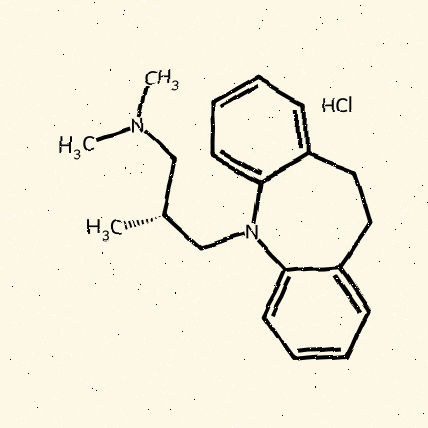 C[C@H](CN(C)C)CN1c2ccccc2CCc2ccccc21.Cl